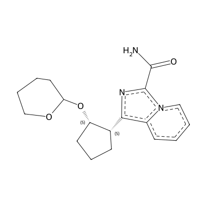 NC(=O)c1nc([C@@H]2CCC[C@@H]2OC2CCCCO2)c2ccccn12